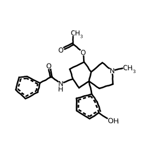 CC(=O)OC1CC(NC(=O)c2ccccc2)CC2(c3cccc(O)c3)CCN(C)CC12